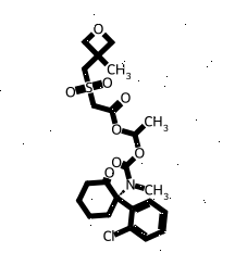 CC(OC(=O)CS(=O)(=O)CC1(C)COC1)OC(=O)N(C)[C@]1(c2ccccc2Cl)CCCCC1=O